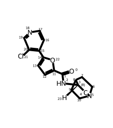 O=C(N[C@H]1CN2CCC1CC2)c1ccc(-c2ccncc2Cl)o1